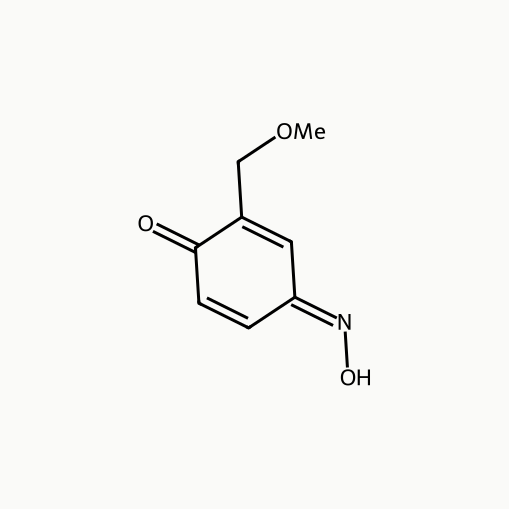 COCC1=CC(=NO)C=CC1=O